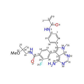 C=C(C)C(=O)Nc1ccc(-c2c(-c3ccc(C(=O)NCC(C)(C)OC)c(F)c3)c3c(N)ncnc3n2C)cc1